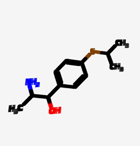 CC(C)Sc1ccc(C(O)C(C)N)cc1